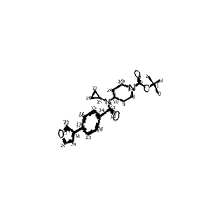 CC(C)(C)OC(=O)N1CCC(N(C(=O)c2ccc(-c3ccoc3)cc2)C2CC2)CC1